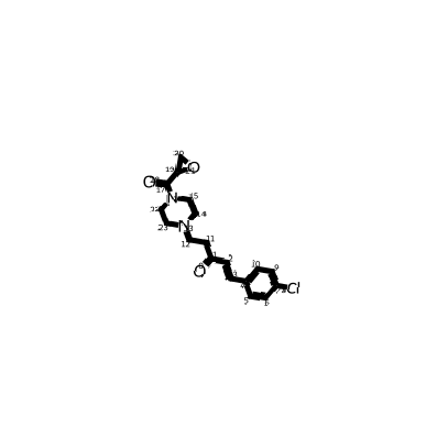 O=C(/C=C/c1ccc(Cl)cc1)CCN1CCN(C(=O)C2CO2)CC1